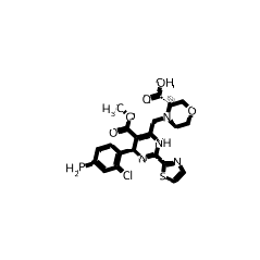 COC(=O)C1=C(CN2CCOC[C@H]2C(=O)O)NC(c2nccs2)=NC1c1ccc(P)cc1Cl